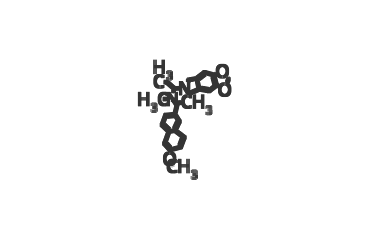 CCC(N1Cc2cc3c(cc2C1)OCO3)N(C)C(C)c1ccc2cc(OC)ccc2c1